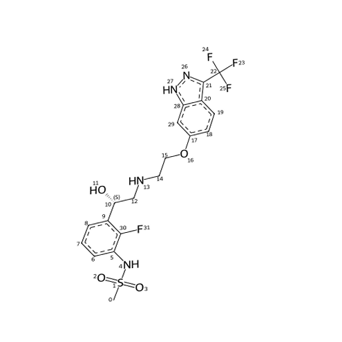 CS(=O)(=O)Nc1cccc([C@H](O)CNCCOc2ccc3c(C(F)(F)F)n[nH]c3c2)c1F